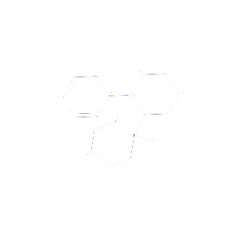 CC1(C2CC=CCN2c2ccccc2)C=CC=CC1